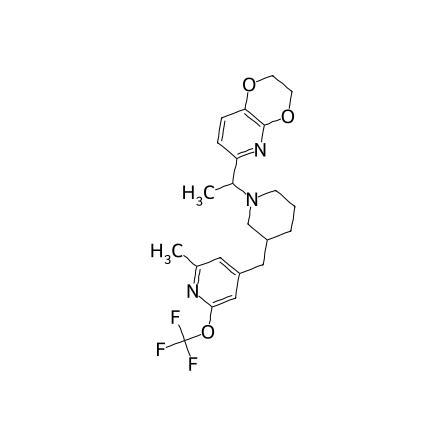 Cc1cc(CC2CCCN(C(C)c3ccc4c(n3)OCCO4)C2)cc(OC(F)(F)F)n1